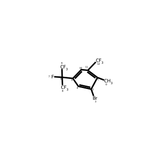 Cc1c(Br)cc(C(F)(C(F)(F)F)C(F)(F)F)cc1C(F)(F)F